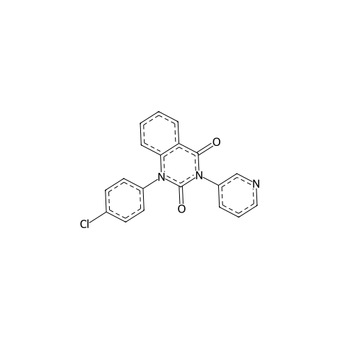 O=c1c2ccccc2n(-c2ccc(Cl)cc2)c(=O)n1-c1cccnc1